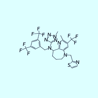 Cc1nc2c(cc1C(F)(F)F)N(Cc1nccs1)CCCC2N(Cc1cc(C(F)(F)F)cc(C(F)(F)F)c1)c1nnn(C)n1